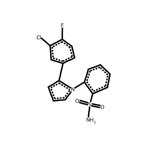 NS(=O)(=O)c1ccccc1-n1cccc1-c1ccc(F)c(Cl)c1